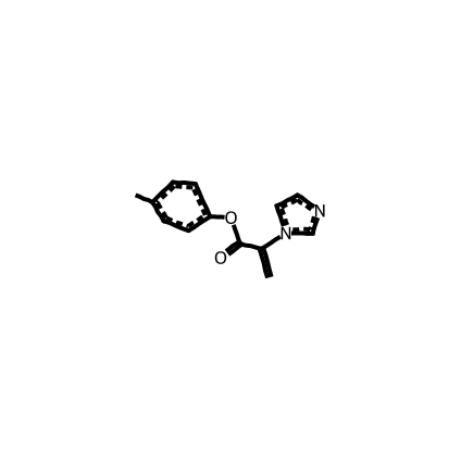 C=C(C(=O)Oc1ccc(C)cc1)n1ccnc1